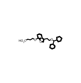 O=C(O)CCCOc1cccc2c(CCOC(c3ccccc3)c3ccccc3)coc12